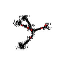 CCOCC1C[C@@H](O)CN1C(=O)CCCCCCCCCCC(=O)NC(COCCC(=O)NCCOCCOCCO[C@H]1OC(CO)[C@@H](O)C(O)C1O)(COCCC(=O)NCCOCCOCCO[C@H]1OC(CO)[C@@H](O)C(O)C1O)COCCC(O)NCCOCCOCCO[C@H]1OC(CO)[C@@H](O)C(O)C1O